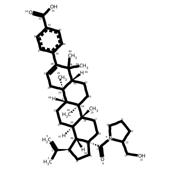 C=C(C)[C@@H]1CC[C@]2(C(=O)N3CCCC3CO)CC[C@]3(C)[C@H](CC[C@@H]4[C@@]5(C)CC=C(c6ccc(C(=O)O)cc6)C(C)(C)[C@@H]5CC[C@]43C)[C@@H]12